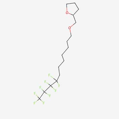 FC(F)(F)C(F)(F)C(F)(F)C(F)(F)CCCCCCCOCC1CCCO1